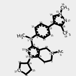 CC(=O)N1CCc2c(c(N(C)c3ccc(-c4cn(C)nc4C(F)(F)F)cc3)nn2C2CCOC2)C1